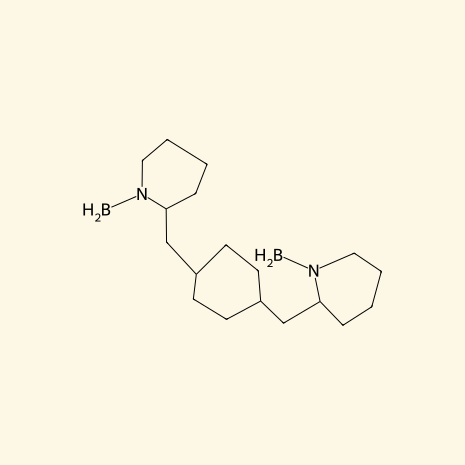 BN1CCCCC1CC1CCC(CC2CCCCN2B)CC1